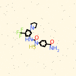 NC(=O)c1ccc(N(S)C(=O)Nc2cc(N3CCCC3)cc(C(F)(F)F)c2)cc1